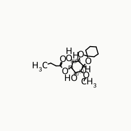 CCCC(=O)O[C@H]1[C@H](O)[C@H]2OC3(CCCCC3)O[C@@H]2[C@@H](OC)[C@H]1O